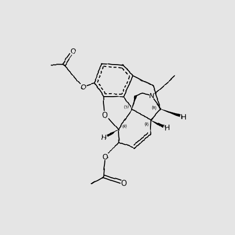 CC(=O)Oc1ccc2c3c1O[C@H]1C(OC(C)=O)C=C[C@H]4[C@@H](C2)N(C)CC[C@]314